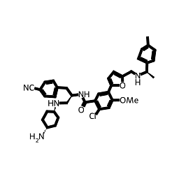 COc1cc(Cl)c(C(=O)N[C@@H](CN[C@H]2CC[C@@H](N)CC2)Cc2ccc(C#N)cc2)cc1-c1ccc(CN[C@H](C)c2ccc(C)cc2)o1